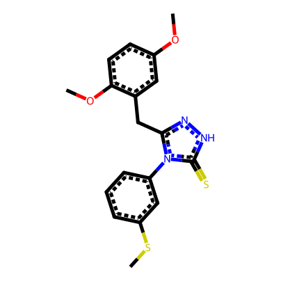 COc1ccc(OC)c(Cc2n[nH]c(=S)n2-c2cccc(SC)c2)c1